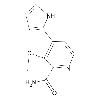 COc1c(-c2ccc[nH]2)ccnc1C(N)=O